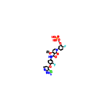 CCOc1ccn(-c2ccc(F)c(OCOP(=O)(O)O)c2)c(=O)c1C(=O)Nc1ccc(Oc2ccnc(N)c2Cl)c(F)c1